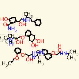 C=CCOc1ccccc1OCC(O)CNC(C)C.CC(C)(C)NCC(O)COc1cccc2c1C[C@H](O)[C@H](O)C2.CC(C)NCC(O)COc1cccc2[nH]ccc12.CC(CCc1ccccc1)NCC(O)c1ccc(O)c(C(N)=O)c1